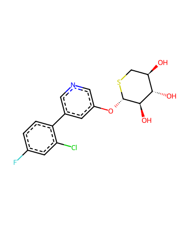 O[C@@H]1[C@@H](O)[C@H](Oc2cncc(-c3ccc(F)cc3Cl)c2)SC[C@H]1O